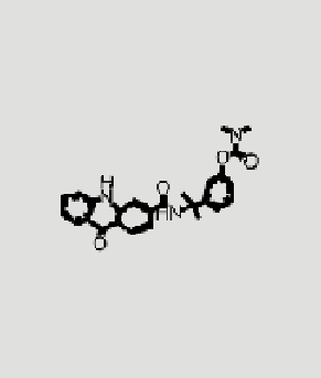 CN(C)C(=O)Oc1cccc(C(C)(C)NC(=O)C2=CC3Nc4ccccc4C(=O)C3C=C2)c1